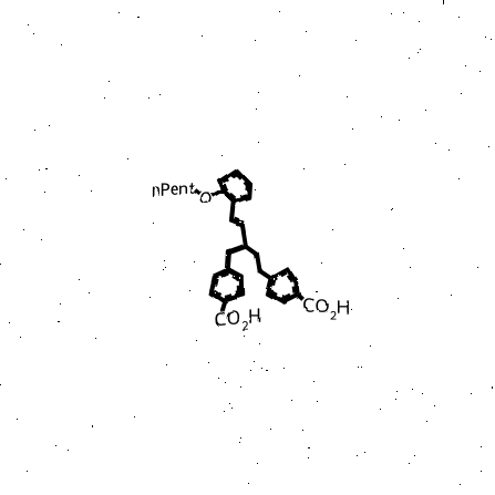 CCCCCOc1ccccc1C=CC(CCc1ccc(C(=O)O)cc1)Cc1ccc(C(=O)O)cc1